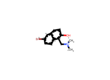 CN(C)Cc1c(O)ccc2cc(Br)ccc12